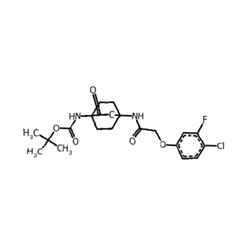 CC(C)(C)OC(=O)NC12CCC(NC(=O)COc3ccc(Cl)c(F)c3)(CC1)CC2=O